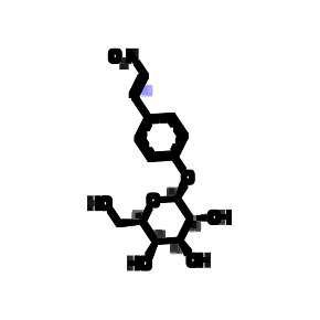 O=[N+]([O-])/C=C/c1ccc(O[C@@H]2O[C@H](CO)[C@H](O)[C@H](O)[C@H]2O)cc1